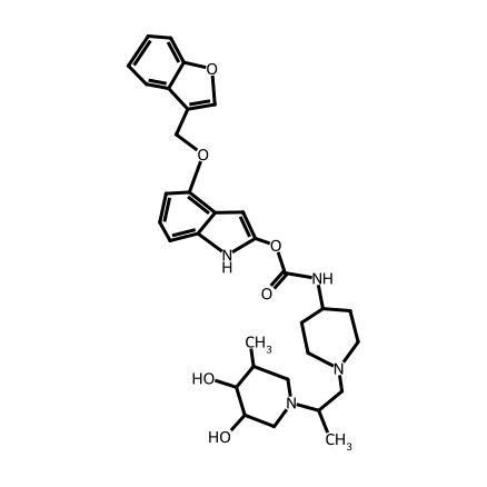 CC1CN(C(C)CN2CCC(NC(=O)Oc3cc4c(OCc5coc6ccccc56)cccc4[nH]3)CC2)CC(O)C1O